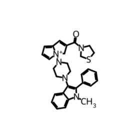 Cn1c(-c2ccccc2)c(N2CCN([N@@+]34C=CC=C3C=C(C(=O)N3CCSC3)C4)CC2)c2ccccc21